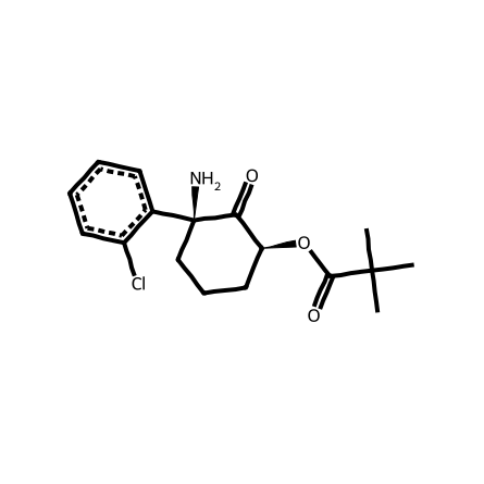 CC(C)(C)C(=O)O[C@H]1CCC[C@](N)(c2ccccc2Cl)C1=O